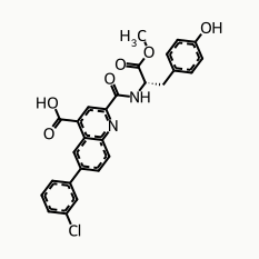 COC(=O)[C@H](Cc1ccc(O)cc1)NC(=O)c1cc(C(=O)O)c2cc(-c3cccc(Cl)c3)ccc2n1